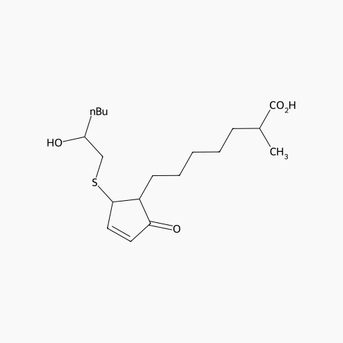 CCCCC(O)CSC1C=CC(=O)C1CCCCCC(C)C(=O)O